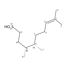 CC(C)=CCC[C@H](C)[C@H](C)CCS(=O)(=O)O